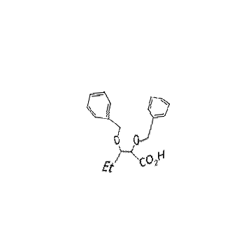 CCC(OCc1ccccc1)C(OCc1ccccc1)C(=O)O